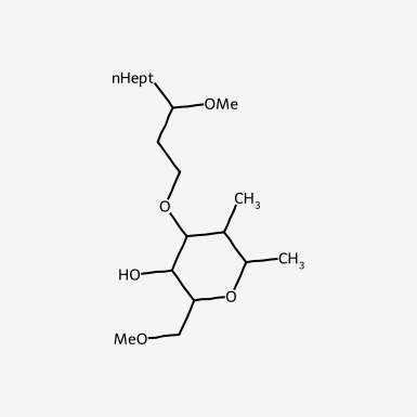 CCCCCCCC(CCOC1C(C)C(C)OC(COC)C1O)OC